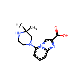 CC1(C)CN(c2cccc3nc(C(=O)O)cn23)CCN1